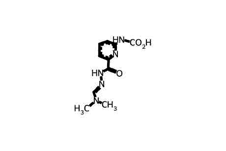 CN(C)/C=N/NC(=O)c1cccc(NC(=O)O)n1